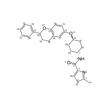 Cc1nc(C(=O)N[C@H]2CC[C@H](Oc3ccc4c(c3)CCC(c3ccccc3)O4)CC2)cs1